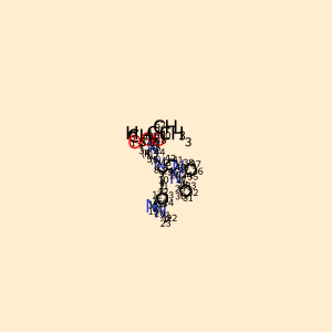 COCC[C@H]1C[C@H](n2cc(C#Cc3ccc4c(c3)ncn4C3CC3)c3c(N=C(c4ccccc4)c4ccccc4)nccc32)CN1C(=O)OC(C)(C)C